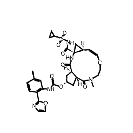 Cc1ccc(-c2ncco2)c(NC(=O)O[C@@H]2C[C@H]3C(=O)N[C@]4(C(=O)NS(=O)(=O)C5CC5)C[C@H]4/C=C\CCCN(C)C(=O)[C@@H]3C2)c1